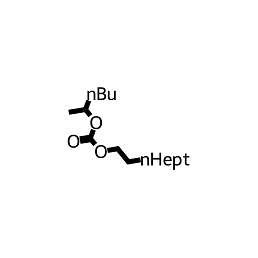 CCCCCCCCCOC(=O)OC(C)CCCC